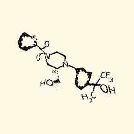 CC(O)(c1ccc(N2CCN(S(=O)(=O)c3cccs3)C[C@H]2CO)cc1)C(F)(F)F